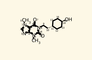 Cn1cnc2c1c(=O)n(CC[C@H]1CC[C@H](O)CC1)c(=O)n2C